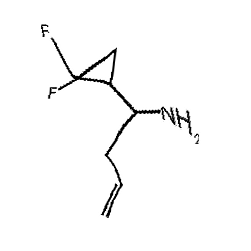 C=CCC(N)C1CC1(F)F